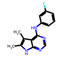 Cc1[nH]c2ncnc(Nc3cccc(F)c3)c2c1C